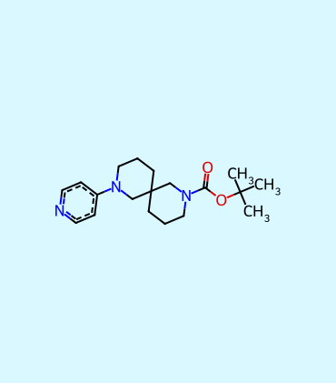 CC(C)(C)OC(=O)N1CCCC2(CCCN(c3ccncc3)C2)C1